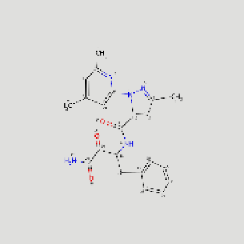 Cc1cc(C)nc(-n2nc(C)cc2C(=O)NC(Cc2ccccc2)C(=O)C(N)=O)c1